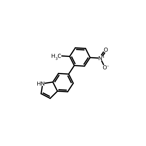 Cc1ccc([N+](=O)[O-])cc1-c1ccc2cc[nH]c2c1